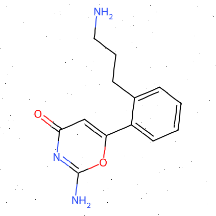 NCCCc1ccccc1-c1cc(=O)nc(N)o1